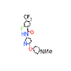 CNc1ccc(Oc2ccc(NC(=O)c3ccc(C(F)(F)F)cc3F)cn2)cc1